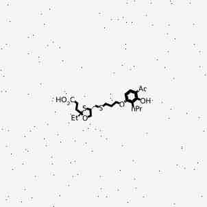 CCCc1c(OCCCSC[C@@H]2CO[C@](CC)(CCC(=O)O)S2)ccc(C(C)=O)c1O